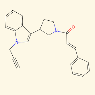 C#CCn1cc(C2CCN(C(=O)C=Cc3ccccc3)C2)c2ccccc21